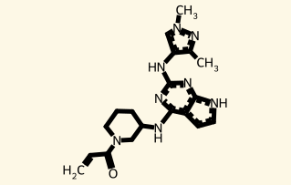 C=CC(=O)N1CCCC(Nc2nc(Nc3cn(C)nc3C)nc3[nH]ccc23)C1